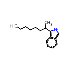 CCCCCCC(C)C1=c2ccccc2=C[N]1